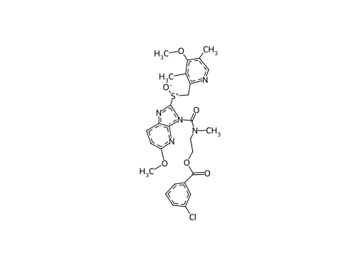 COc1ccc2nc([S+]([O-])Cc3ncc(C)c(OC)c3C)n(C(=O)N(C)CCOC(=O)c3cccc(Cl)c3)c2n1